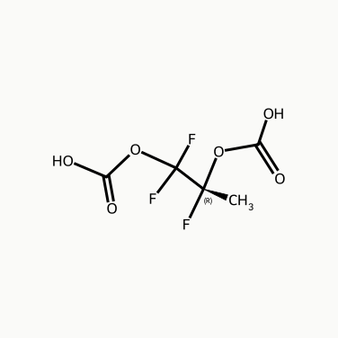 C[C@](F)(OC(=O)O)C(F)(F)OC(=O)O